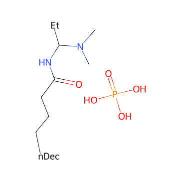 CCCCCCCCCCCCCC(=O)NC(CC)N(C)C.O=P(O)(O)O